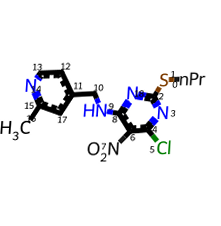 CCCSc1nc(Cl)c([N+](=O)[O-])c(NCc2ccnc(C)c2)n1